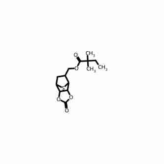 CCC(C)(C)C(=O)OCC1CC2SC1C1OC(=O)OC21